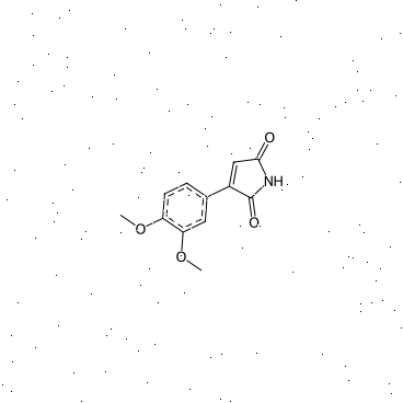 COc1ccc(C2=CC(=O)NC2=O)cc1OC